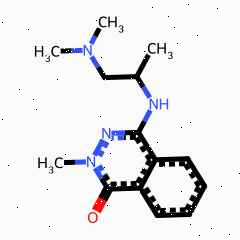 CC(CN(C)C)Nc1nn(C)c(=O)c2ccccc12